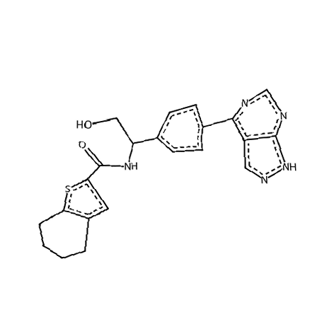 O=C(NC(CO)c1ccc(-c2ncnc3[nH]ncc23)cc1)c1cc2c(s1)CCCC2